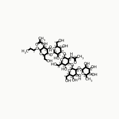 CCCO[C@@H]1OC(CO)[C@@H](O[C@@H]2OC(CO)[C@H](O)[C@H](O[C@@H]3OC(CO)[C@@H](O)[C@H](O[C@@H]4OC(CO)[C@H](O)[C@H](O)C4O[C@@H]4OC(C)[C@@H](O)[C@H](O)C4O)C3NC(C)=O)C2O)[C@H](O)C1NC(C)=O